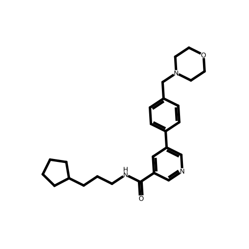 O=C(NCCCC1CCCC1)c1cncc(-c2ccc(CN3CCOCC3)cc2)c1